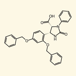 O=C(O)[C@H]1[C@@H](c2ccc(OCc3ccccc3)cc2OCc2ccccc2)NC(=O)N1c1ccccc1